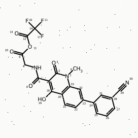 Cn1c(=O)c(C(=O)NCC(=O)OC(=O)C(F)(F)F)c(O)c2ccc(-c3cccc(C#N)c3)cc21